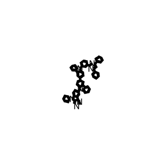 c1ccc(-c2cc(-c3ccccc3)nc(-c3cccc(-n4c5ccccc5c5cc(-c6ccc7c(c6)c6ccccc6n7-c6ccc7c(c6)c6ncncc6n7-c6ccccc6)ccc54)c3)n2)cc1